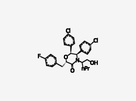 CCCC(CO)N1C(=O)[C@H](Cc2ccc(F)cc2)O[C@@H](c2ccc(Cl)cc2)[C@H]1c1ccc(Cl)cc1